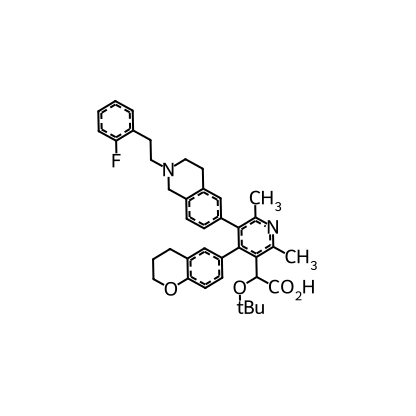 Cc1nc(C)c(C(OC(C)(C)C)C(=O)O)c(-c2ccc3c(c2)CCCO3)c1-c1ccc2c(c1)CCN(CCc1ccccc1F)C2